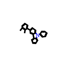 Cc1cccc(-c2ccc3c(c2)c2ccccc2n3-c2ccccc2)c1C